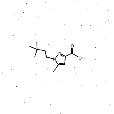 Cc1cc(C(=O)O)nn1CCC(C)(C)C